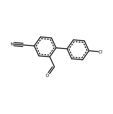 N#Cc1ccc(-c2ccc(Cl)cc2)c(C=O)c1